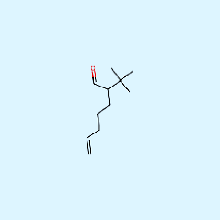 C=CCCCC(C=O)C(C)(C)C